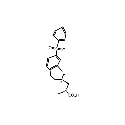 CN(C[C@H]1CCc2ccc(S(=O)(=O)c3ccccc3)cc2O1)C(=O)O